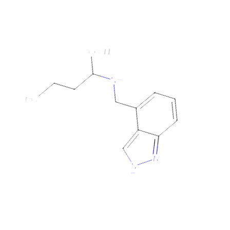 CC(C)(C)CCC(NCc1cccc2n[nH]cc12)C(=O)O